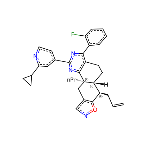 C=CC[C@H]1c2oncc2C[C@@]2(CCC)c3nc(-c4ccnc(C5CC5)c4)nc(-c4ccccc4F)c3CC[C@H]12